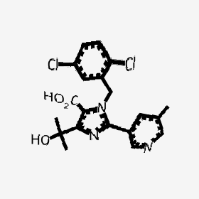 Cc1cncc(-c2nc(C(C)(C)O)c(C(=O)O)n2Cc2cc(Cl)ccc2Cl)c1